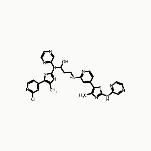 Cc1nc(Nc2cnccn2)sc1-c1ccnc(NCCC(O)N(c2cnccn2)c2nc(C)c(-c3ccnc(Cl)c3)s2)c1